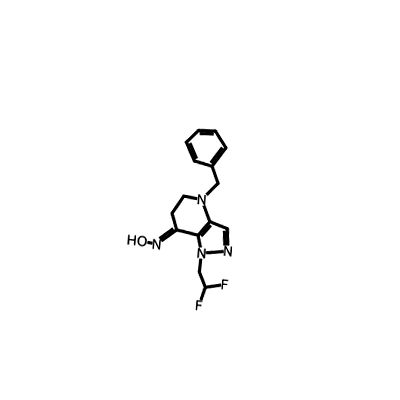 ON=C1CCN(Cc2ccccc2)c2cnn(CC(F)F)c21